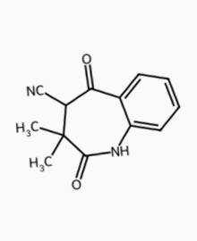 CC1(C)C(=O)Nc2ccccc2C(=O)C1C#N